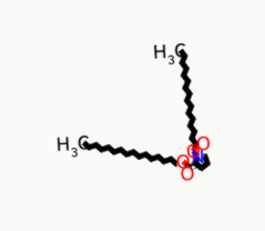 CCCCCCCCCCCCCCCCOC(=O)[C@@H]1CCCN1OC(=O)CCCCCCCCCCCCCCC